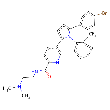 CN(C)CCNC(=O)c1ccc(-c2ccc(-c3ccc(Br)cc3)n2-c2ccccc2C(F)(F)F)cn1